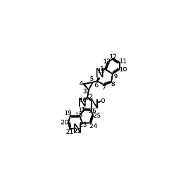 Cn1c(C2CC2c2ccc3ccccc3n2)nc2c3cccnc3ccc21